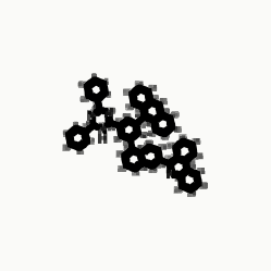 c1ccc(C2=NC(c3ccccc3)NC(c3cc(-c4cccc5cc(-c6nc7ccccc7c7ccccc67)ccc45)cc(-c4c5ccccc5cc5ccccc45)c3)=N2)cc1